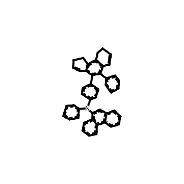 C1=Cc2c(c3c(c(-c4ccc(N(c5ccccc5)c5cc6ccccc6c6ccccc56)cc4)c2-c2ccccc2)C=CCC3)CC1